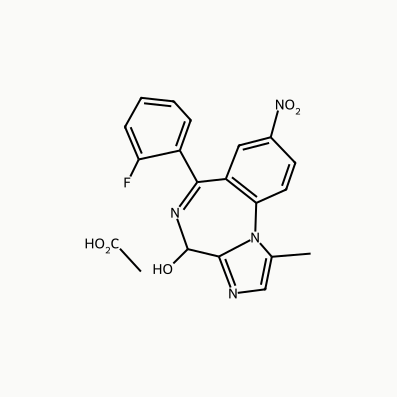 CC(=O)O.Cc1cnc2n1-c1ccc([N+](=O)[O-])cc1C(c1ccccc1F)=NC2O